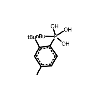 CCCCP(O)(O)(O)c1ccc(C)cc1C(C)(C)C